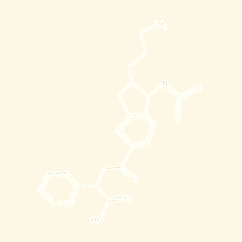 CCCCC1Cc2cc(C(=O)CC(C(=O)O)c3ccccc3)ccc2C1N=S(=O)=O